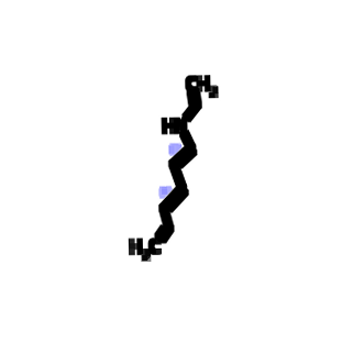 C=C/C=C/C=C/NC=C